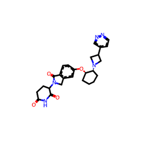 O=C1CCC(N2Cc3cc(O[C@@H]4CCCC[C@H]4N4CC(c5ccnnc5)C4)ccc3C2=O)C(=O)N1